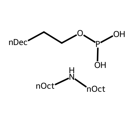 CCCCCCCCCCCCOP(O)O.CCCCCCCCNCCCCCCCC